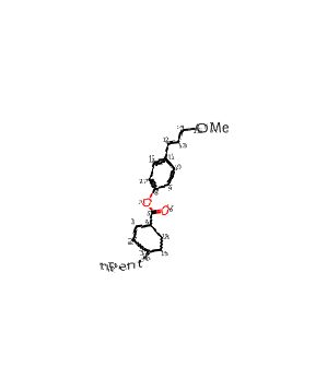 CCCCCC1CCC(C(=O)Oc2ccc(CCCOC)cc2)CC1